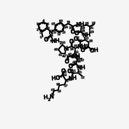 Cc1ccccc1N(C(N)=O)c1ccc(CC(=O)N[C@@H](CC(C)C)C(=O)N[C@@H](CC(=O)O)C(=O)N[C@H](C(=O)N2CCC[C@H]2C(=O)N[C@@H](C)C(=O)N[C@@H](C)C(=O)N[C@@H](CCCCN)C(=O)O)C(C)C)cc1